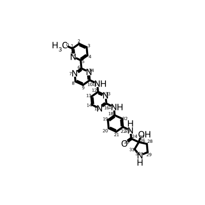 Cc1cccc(-c2nccc(Nc3ccnc(Nc4cccc(NC(=O)C5(O)CCNC5)c4)n3)n2)n1